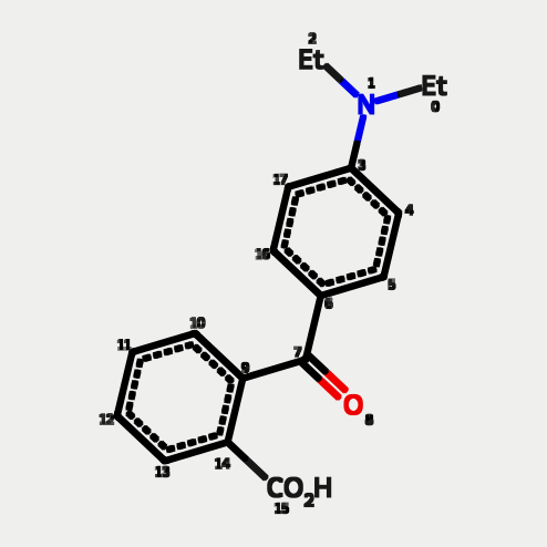 CCN(CC)c1ccc(C(=O)c2ccccc2C(=O)O)cc1